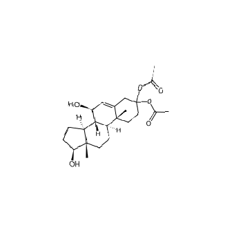 CC(=O)OC1(OC(C)=O)CC[C@@]2(C)C(=C[C@H](O)[C@H]3[C@@H]4CC[C@H](O)[C@@]4(C)CC[C@@H]32)C1